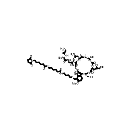 CC[C@H](C)[C@H](NC(=O)CN)C(=O)NCC(=O)N[C@H]1C[S+]([O-])c2[nH]c3c(CSCCCCNC(=O)CCCCCNC(=O)CCCCCN4C(=O)C=CC4=O)c(OC)ccc3c2C[C@@H](CO)NC(=O)[C@H]([C@@H](C)[C@@H](O)CO)NC(=O)C[C@@H](O)CNC(=O)[C@H](CC(N)=O)NC1=O